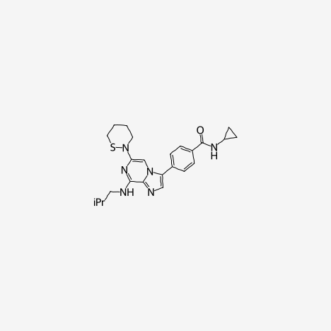 CC(C)CNc1nc(N2CCCCS2)cn2c(-c3ccc(C(=O)NC4CC4)cc3)cnc12